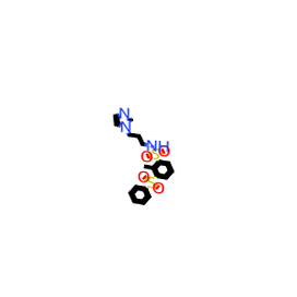 Cc1c(S(=O)(=O)NCCCn2ccnc2)cccc1S(=O)(=O)c1ccccc1